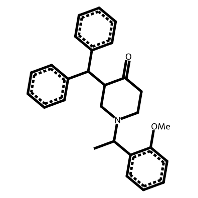 COc1ccccc1C(C)N1CCC(=O)C(C(c2ccccc2)c2ccccc2)C1